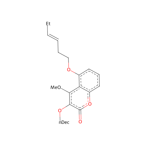 CC/C=C/CCOc1cccc2oc(=O)c(OCCCCCCCCCC)c(OC)c12